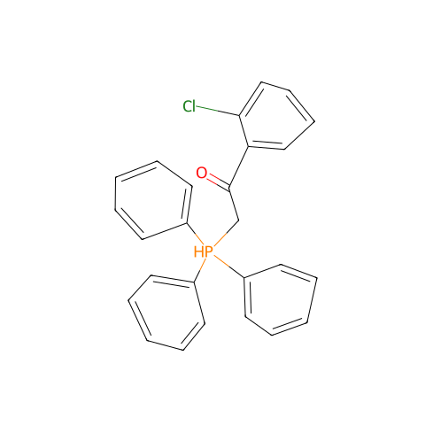 O=C(C[PH](c1ccccc1)(c1ccccc1)c1ccccc1)c1ccccc1Cl